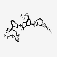 Cn1cc2c(n1)CCCN2Cc1cc2c(c(C(F)(F)F)c1)CN(c1cccc(C3(Cc4nncn4C)COC3)c1)C2=O